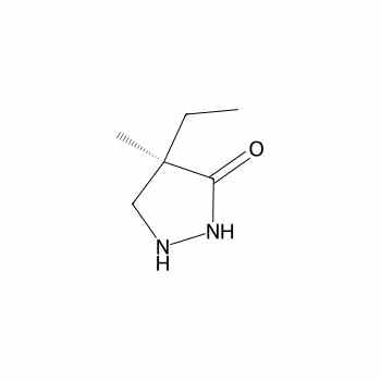 CC[C@]1(C)CNNC1=O